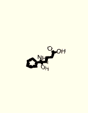 NC(O)(CCCC(=O)O)c1ccccc1